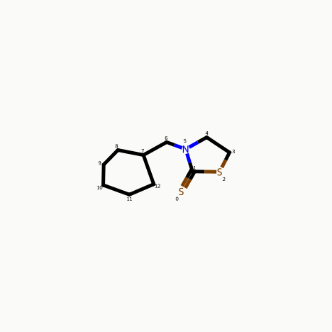 S=C1SCCN1CC1CCCCC1